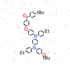 CCc1ccc(N(c2ccc(Oc3ccc(C(=O)c4ccc(C(C)(C)C)cc4)cc3)cc2)c2ccc(N(c3ccc(CC)cc3)c3ccc(OC(C)(C)C)cc3)cc2)cc1